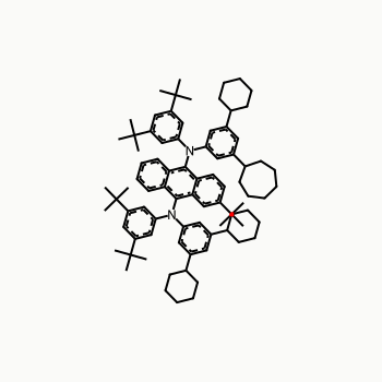 CC(C)(C)c1cc(N(c2cc(C3CCCCCC3)cc(C3CCCCC3)c2)c2c3ccccc3c(N(c3cc(C4CCCCC4)cc(C4CCCCC4)c3)c3cc(C(C)(C)C)cc(C(C)(C)C)c3)c3cc(C(C)(C)C)ccc23)cc(C(C)(C)C)c1